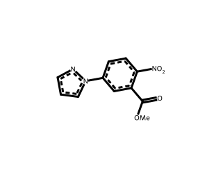 COC(=O)c1cc(-n2cccn2)ccc1[N+](=O)[O-]